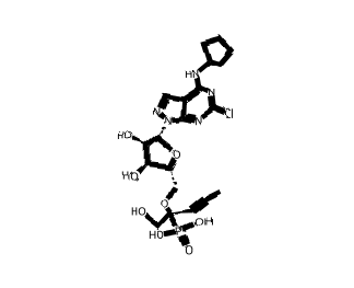 CC#C[C@@](CO)(OC[C@H]1O[C@@H](n2ncc3c(NC4CCCC4)nc(Cl)nc32)[C@H](O)[C@@H]1O)P(=O)(O)O